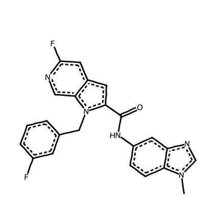 Cn1cnc2cc(NC(=O)c3cc4cc(F)ncc4n3Cc3cccc(F)c3)ccc21